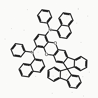 c1ccc(N(c2ccc(N(c3ccccc3)c3cccc4ccccc34)c3c2Oc2cc4c(cc2O3)C2(c3ccccc3-c3ccccc32)c2ccccc2-4)c2cccc3ccccc23)cc1